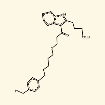 CCOC(=O)CCCc1[nH]c2ccccc2c1C(=O)CCOCCCCCc1ccc(CC(C)C)cc1